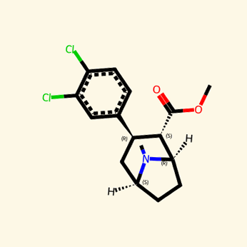 COC(=O)[C@@H]1[C@H]2CC[C@@H](C[C@H]1c1ccc(Cl)c(Cl)c1)N2C